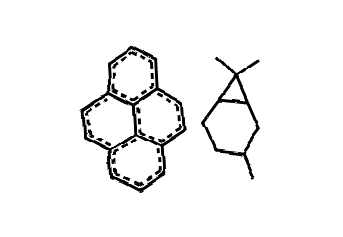 CC1CCC2C(C1)C2(C)C.c1cc2ccc3cccc4ccc(c1)c2c34